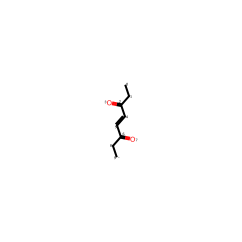 [CH2]CC(=O)/C=C/C(=O)C[CH2]